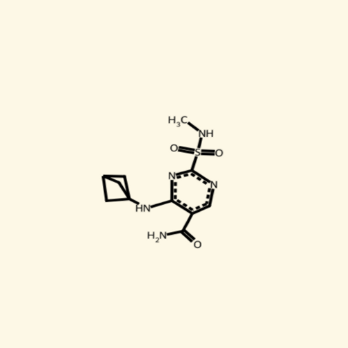 CNS(=O)(=O)c1ncc(C(N)=O)c(NC23CC(C2)C3)n1